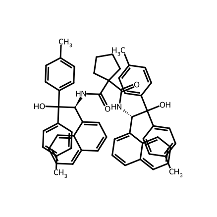 Cc1ccc(C(O)(c2ccc(C)cc2)[C@@H](NC(=O)C2(C(=O)N[C@@H](c3cccc4ccccc34)C(O)(c3ccc(C)cc3)c3ccc(C)cc3)CCCC2)c2cccc3ccccc23)cc1